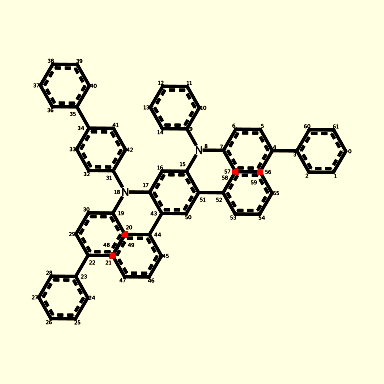 c1ccc(-c2ccc(N(c3ccccc3)c3cc(N(c4ccc(-c5ccccc5)cc4)c4ccc(-c5ccccc5)cc4)c(-c4ccccc4)cc3-c3ccccc3)cc2)cc1